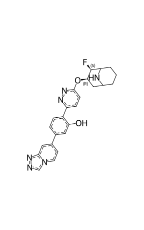 Oc1cc(-c2ccn3cnnc3c2)ccc1-c1ccc(O[C@@H]2CC3CCCC(N3)[C@@H]2F)nn1